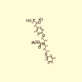 CCOC(Cc1ccc(OCCN(CCCSc2ccccc2)C(=O)OC(C)CC)cc1)C(=O)O